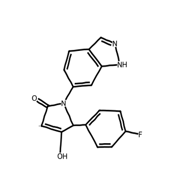 O=C1[C]=C(O)C(c2ccc(F)cc2)N1c1ccc2cn[nH]c2c1